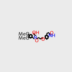 COc1ccc(CN(CCO)C(=O)CCCOc2ccc3c(c2)CCC(=O)N3)cc1OC